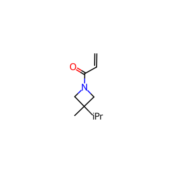 C=CC(=O)N1CC(C)(C(C)C)C1